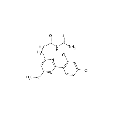 CC(=O)NC(N)=S.COc1cc(C)nc(-c2ccc(Cl)cc2Cl)n1